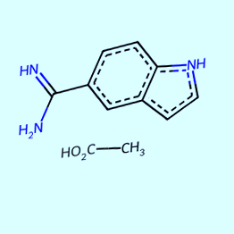 CC(=O)O.N=C(N)c1ccc2[nH]ccc2c1